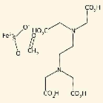 C=O.O=C(O)CN(CCN(CC(=O)O)CC(=O)O)CC(=O)O.[Fe+2].[O-]S[O-]